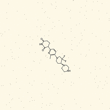 Cc1nc(C2CCC(=O)NC2=O)ccc1N1CC[C@H](N2CCNCC2)C(F)(F)C1